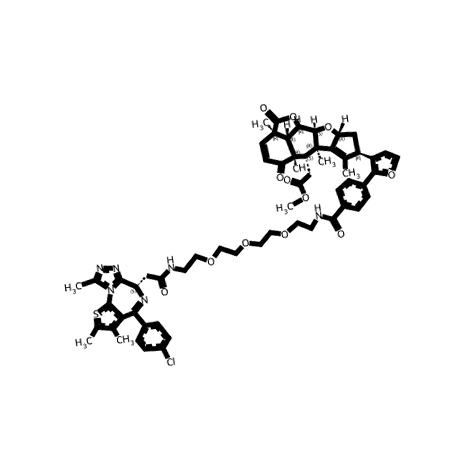 COC(=O)C[C@H]1[C@]2(C)C3=C(C)[C@H](c4ccoc4-c4ccc(C(=O)NCCOCCOCCOCCNC(=O)C[C@@H]5N=C(c6ccc(Cl)cc6)c6c(sc(C)c6C)-n6c(C)nnc65)cc4)C[C@H]3O[C@@H]2[C@@H]2OC(=O)[C@]3(C)C=CC(=O)[C@@]1(C)[C@@H]23